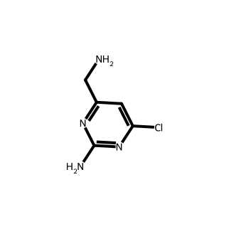 NCc1cc(Cl)nc(N)n1